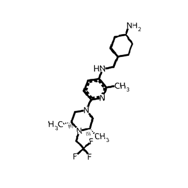 Cc1nc(N2C[C@@H](C)N(CC(F)(F)F)[C@@H](C)C2)ccc1NCC1CCC(N)CC1